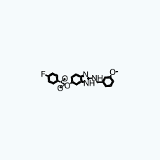 COc1cccc(CNc2nc3ccc(OS(=O)(=O)c4ccc(F)cc4)cc3[nH]2)c1